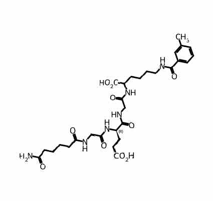 Cc1cccc(C(=O)NCCCCC(NC(=O)CNC(=O)[C@@H](CCC(=O)O)NC(=O)CNC(=O)CCCCC(N)=O)C(=O)O)c1